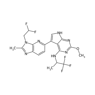 COc1nc(NC(C)C(F)(F)F)c2c(-c3ccc4nc(C)n(CC(F)F)c4n3)c[nH]c2n1